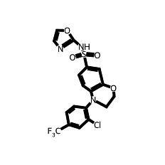 O=S(=O)(Nc1ncco1)c1ccc2c(c1)OCCN2c1ccc(C(F)(F)F)cc1Cl